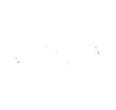 CN1C(C)(C)CC(O[Si](OC2CC(C)(C)N(C)C(C)(C)C2)(c2ccccc2)c2ccccc2)CC1(C)C